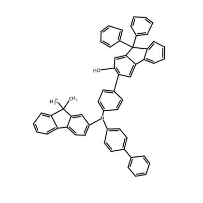 CC1(C)c2ccccc2-c2ccc(N(c3ccc(-c4ccccc4)cc3)c3ccc(-c4cc5c(cc4O)C(c4ccccc4)(c4ccccc4)c4ccccc4-5)cc3)cc21